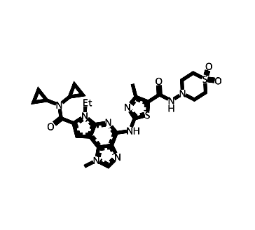 CCn1c(C(=O)N(C2CC2)C2CC2)cc2c3c(ncn3C)c(Nc3nc(C)c(C(=O)NN4CCS(=O)(=O)CC4)s3)nc21